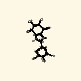 O=C1C(Cl)=C(Cl)C(=O)c2[nH]c(-c3cc(F)c(F)c(F)c3)nc21